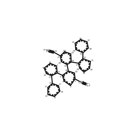 [C-]#[N+]c1ccc(-c2ccccc2-c2ccccc2)c(-c2cc(C#N)ccc2-c2ccccc2-c2ccccc2)c1